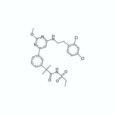 CCS(=O)(=O)NC(=O)C(C)(C)c1cccc(-c2cc(NCCc3ccc(Cl)cc3Cl)nc(OC)n2)c1